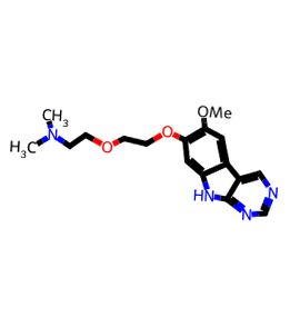 COc1cc2c(cc1OCCOCCN(C)C)[nH]c1ncncc12